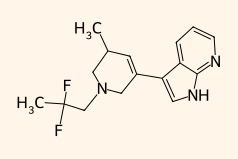 CC1C=C(c2c[nH]c3ncccc23)CN(CC(C)(F)F)C1